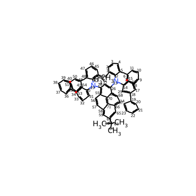 Cc1cccc(-c2ccccc2)c1N(c1cccc(-c2ccccc2)c1)c1cc(N(c2cccc(-c3ccccc3)c2)c2c(C)cccc2-c2ccccc2)c2ccc3cc(C(C)(C)C)cc4ccc1c2c43